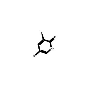 O=c1[nH]cc(Br)cc1Cl